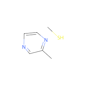 CS.Cc1cnccn1